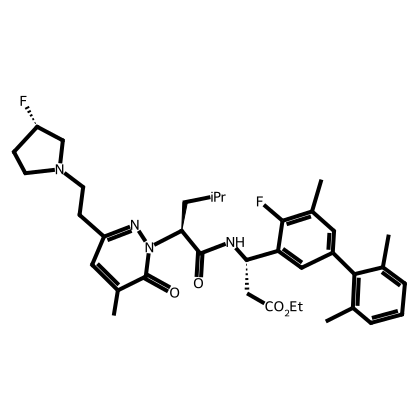 CCOC(=O)C[C@H](NC(=O)[C@H](CC(C)C)n1nc(CCN2CC[C@H](F)C2)cc(C)c1=O)c1cc(-c2c(C)cccc2C)cc(C)c1F